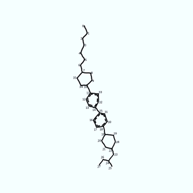 CCCCCCCC1CCC(c2ccc(-c3ccc(C4CCC(CC(C)CC)CC4)cc3)cc2)CC1